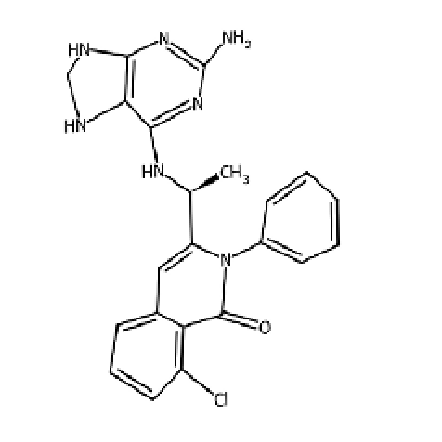 C[C@H](Nc1nc(N)nc2c1NCN2)c1cc2cccc(Cl)c2c(=O)n1-c1ccccc1